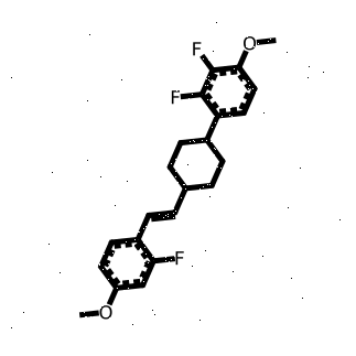 COc1ccc(/C=C/C2CCC(c3ccc(OC)c(F)c3F)CC2)c(F)c1